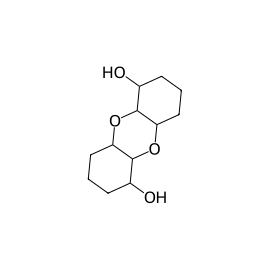 OC1CCCC2OC3C(O)CCCC3OC12